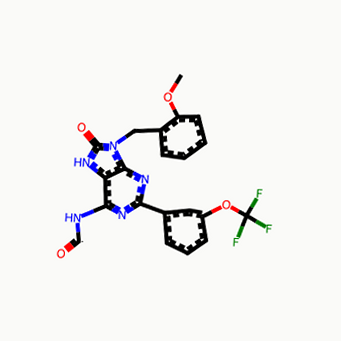 COc1ccccc1Cn1c(=O)[nH]c2c(N[C]=O)nc(-c3cccc(OC(F)(F)F)c3)nc21